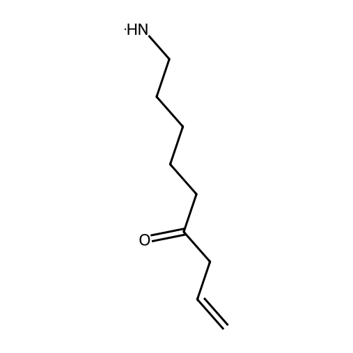 C=CCC(=O)CCCCC[NH]